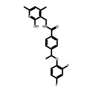 Cc1cc(C)c(CNC(=O)c2ccc(C(C)Oc3ccc(F)cc3F)cc2)c(O)n1